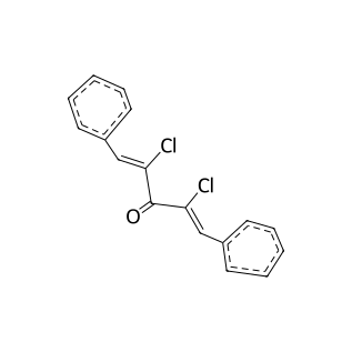 O=C(C(Cl)=Cc1ccccc1)C(Cl)=Cc1ccccc1